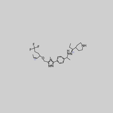 C/C=C\C(CCC(F)(F)F)OCc1nnc(-c2ccc(C(C)N/N=C(\CC)C3CCNCC3)cc2)n1C